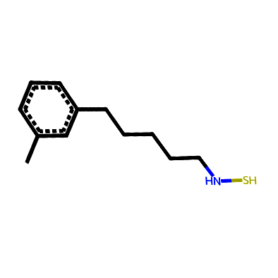 Cc1cccc(CCCCCNS)c1